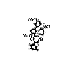 COc1ccc(-c2cccc(SC)c2)cc1CN(C(=O)c1sc2c(F)ccc(F)c2c1Cl)[C@H]1CC[C@H](N(C)Cl)CC1